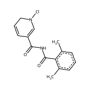 Cc1cccc(C)c1C(=O)NC(=O)C1=CN(Cl)CC=C1